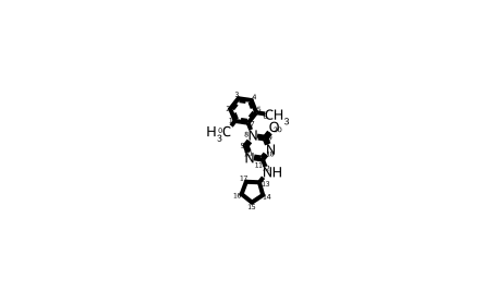 Cc1cccc(C)c1-n1cnc(NC2CCCC2)nc1=O